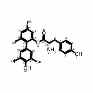 N[C@@H](Cc1ccc(O)cc1)C(=O)Oc1cc(I)cc(I)c1-c1cc(I)c(O)c(I)c1